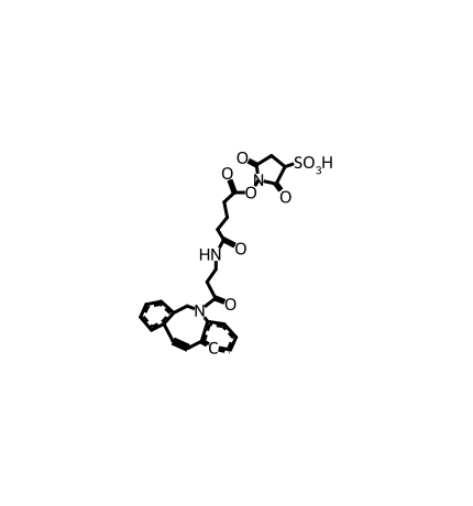 O=C(CCCC(=O)ON1C(=O)CC(S(=O)(=O)O)C1=O)NCCC(=O)N1Cc2ccccc2C#Cc2ccccc21